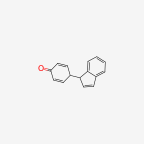 O=C1C=CC(C2C=Cc3ccccc32)C=C1